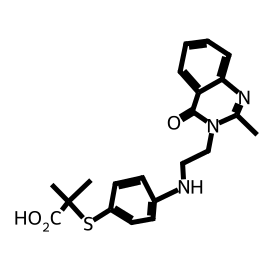 Cc1nc2ccccc2c(=O)n1CCNc1ccc(SC(C)(C)C(=O)O)cc1